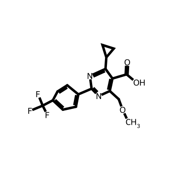 COCc1nc(-c2ccc(C(F)(F)F)cc2)nc(C2CC2)c1C(=O)O